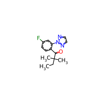 CCC(C)(C)C(=O)c1ccc(F)cc1-n1nccn1